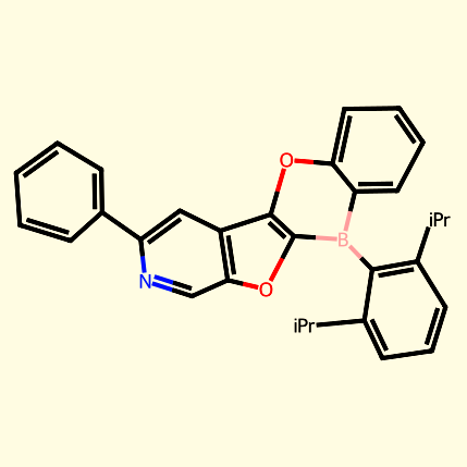 CC(C)c1cccc(C(C)C)c1B1c2ccccc2Oc2c1oc1cnc(-c3ccccc3)cc21